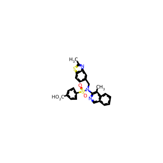 Cc1nc2cc(CN(c3ncc4ccccc4c3C)S(=O)(=O)c3ccc(C(=O)O)cc3)ccc2s1